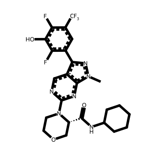 Cn1nc(-c2cc(C(F)(F)F)c(F)c(O)c2F)c2cnc(N3CCOC[C@H]3C(=O)NC3CCCCC3)nc21